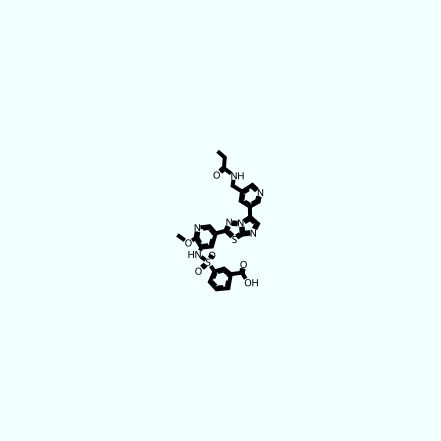 CCC(=O)NCc1cncc(-c2cnc3sc(-c4cnc(OC)c(NS(=O)(=O)c5cccc(C(=O)O)c5)c4)nn23)c1